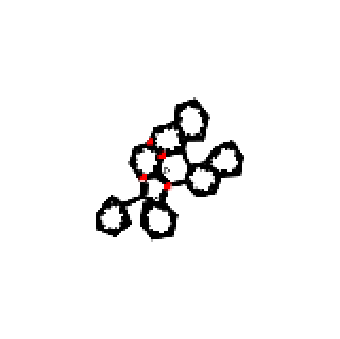 c1ccc(C2=N[C@@H](c3ccc4ccccc4c3-c3c(P(c4ccccc4)c4ccccc4)ccc4ccccc34)CO2)cc1